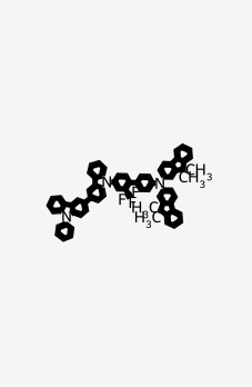 CC1(C)c2ccccc2-c2ccc(N(c3ccc(-c4ccc(-n5c6ccccc6c6cc(-c7ccc8c(c7)c7ccccc7n8-c7ccccc7)ccc65)cc4C(F)(F)F)cc3)c3ccc4c(c3)C(C)(C)c3ccccc3-4)cc21